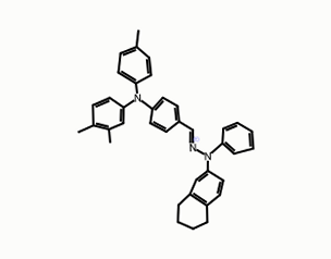 Cc1ccc(N(c2ccc(/C=N/N(c3ccccc3)c3ccc4c(c3)CCCC4)cc2)c2ccc(C)c(C)c2)cc1